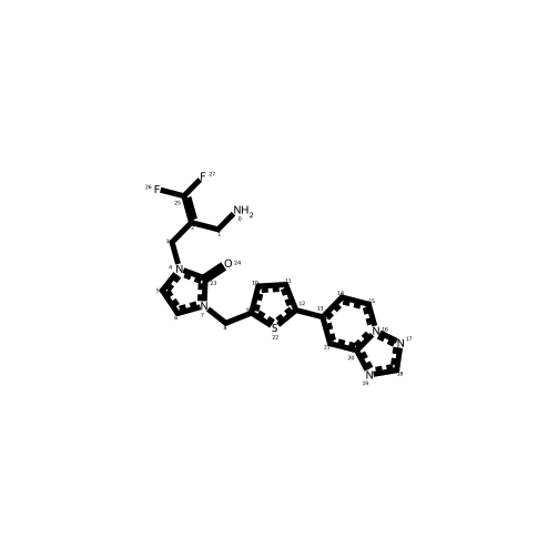 NCC(Cn1ccn(Cc2ccc(-c3ccn4ncnc4c3)s2)c1=O)=C(F)F